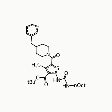 CCCCCCCCNC(=O)Nc1sc(C(=O)N2CCC(Cc3ccccc3)CC2)c(C)c1C(=O)OC(C)(C)C